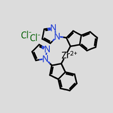 C1=C(n2cccn2)[CH]([Zr+2][CH]2C(n3cccn3)=Cc3ccccc32)c2ccccc21.[Cl-].[Cl-]